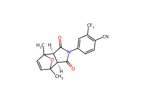 CC12C=CC(C)(O1)[C@H]1C(=O)N(c3ccc(C#N)c(C(F)(F)F)c3)C(=O)[C@H]12